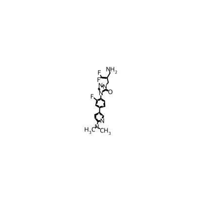 CN(C)c1ccc(-c2ccc(-n3cnn(CC(CN)=C(F)F)c3=O)c(F)c2)cn1